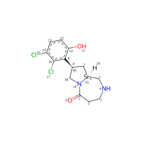 O=C1CCNC[Si@@H]2C[C@H](c3c(O)ccc(Cl)c3Cl)CN12